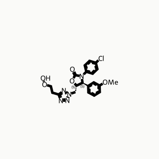 COc1cccc([C@H]2[C@H](Cn3nnc(CCOO)n3)OC(=O)N2c2ccc(Cl)cc2)c1